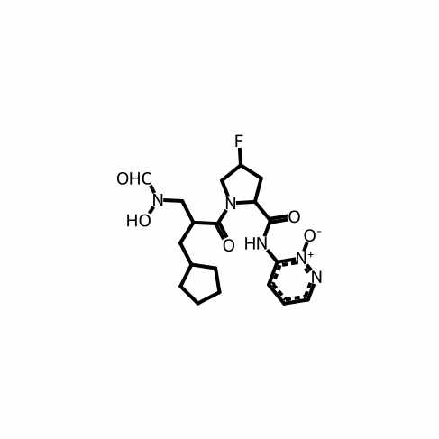 O=CN(O)CC(CC1CCCC1)C(=O)N1CC(F)CC1C(=O)Nc1cccn[n+]1[O-]